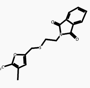 Cc1cc(CSCCN2C(=O)c3ccccc3C2=O)oc1C(=O)O